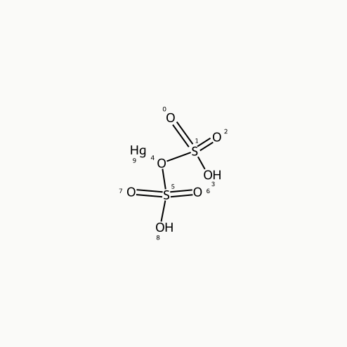 O=S(=O)(O)OS(=O)(=O)O.[Hg]